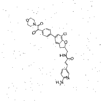 Nc1ccc(/C=C/C(=O)NCC2Cc3cc(-c4ccc(C(=O)C(=O)N5CCOCC5)cc4)cc(Cl)c3O2)cn1